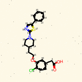 O=C(O)Cc1ccc(Cl)c(OCCC2CCN(c3ncc(-c4ccccc4)s3)CC2)c1